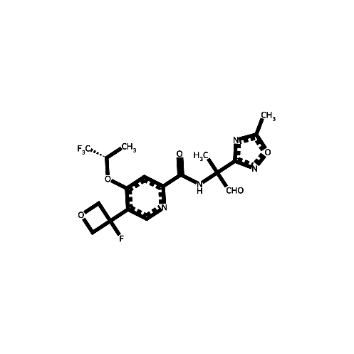 Cc1nc(C(C)(C=O)NC(=O)c2cc(O[C@@H](C)C(F)(F)F)c(C3(F)COC3)cn2)no1